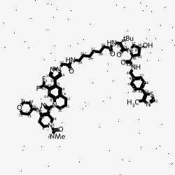 CNC(=O)N1CCc2c(c(N3CCCc4cc(-c5cnn(CC(=O)NCCCCCCC(=O)N[C@H](C(=O)N6C[C@H](O)C[C@H]6C(=O)NCc6ccc(-c7scnc7C)cc6)C(C)(C)C)c5)c(C(F)F)cc43)nn2C2CCOCC2)C1